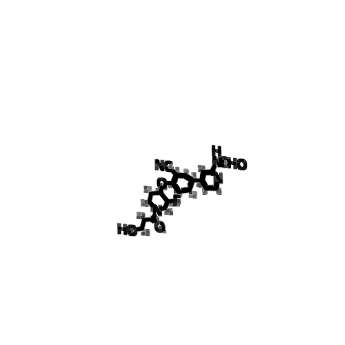 N#Cc1cc(-c2ccnc(NC=O)c2)ccc1OC1CCN(C(=O)CCO)CC1F